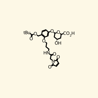 CC(C)(C)C(=O)OCc1ccc(OC2C[C@@H](O)CC(C(=O)O)O2)cc1OCCCNC(=O)CN1C(=O)C=CC1=O